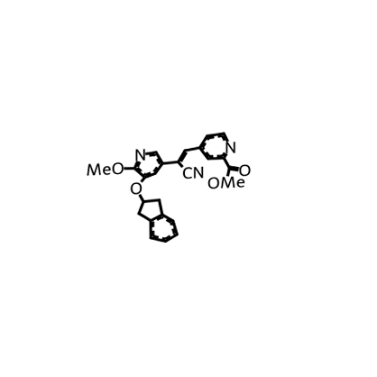 COC(=O)c1cc(C=C(C#N)c2cnc(OC)c(OC3Cc4ccccc4C3)c2)ccn1